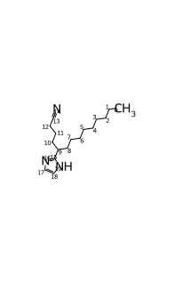 CCCCCCCCCC(CCCC#N)c1ncc[nH]1